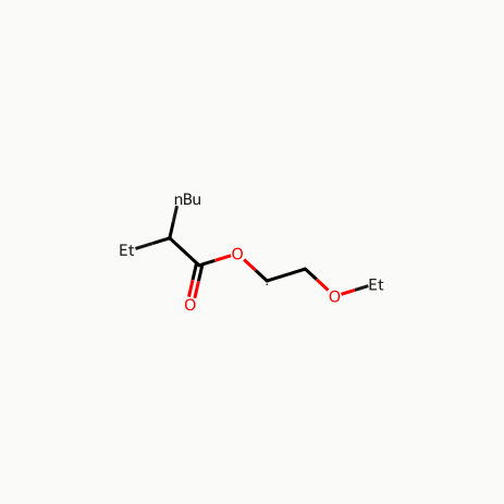 CCCCC(CC)C(=O)O[CH]COCC